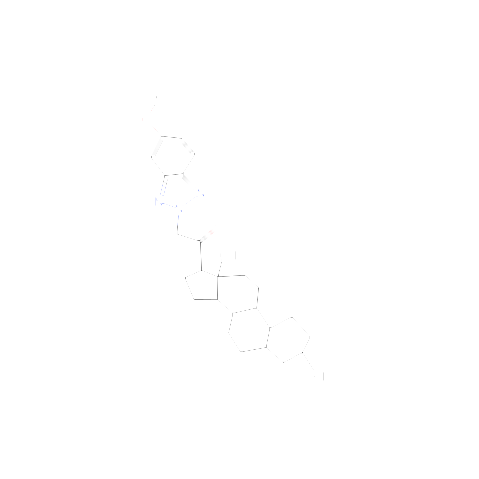 COc1ccc2nn(CC(=O)C3CCC4C5CCC6CC(C)CCC6C5CCC34C)nc2c1